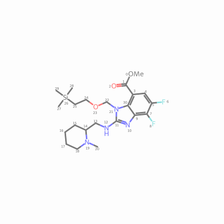 COC(=O)c1cc(F)c(F)c2nc(NCC3CCCCN3C)n(COCC[Si](C)(C)C)c12